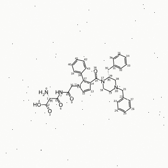 N[C@@H](C(=O)O)C(=O)NC(=O)Cn1ccc(C(=O)N2CCN(Cc3ccccc3)C[C@H]2Cc2ccccc2)c1-c1ccccc1